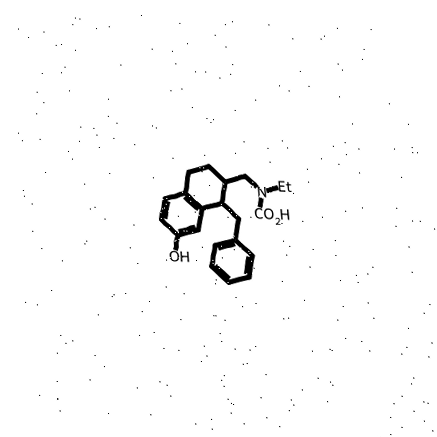 CCN(CC1CCc2ccc(O)cc2C1Cc1ccccc1)C(=O)O